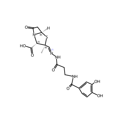 C[C@@]1(/C=N/NC(=O)CCNC(=O)c2ccc(O)c(O)c2)S[C@@H]2CC(=O)N2[C@H]1C(=O)O